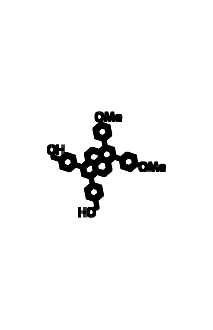 COc1ccc(-c2cc(-c3ccc(OC)cc3)c3ccc4c(-c5ccc(CO)cc5)cc(-c5ccc(CO)cc5)c5ccc2c3c54)cc1